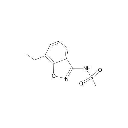 CCc1cccc2c(NS(C)(=O)=O)noc12